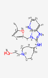 Cc1ccc(Cn2c(NC3CCCN(CCO)CC3)nc3cccnc32)o1